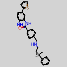 C[Si](C)(CCNCc1ccc(C(=O)Nc2cc(-c3cccs3)ccc2N)cc1)c1ccccc1